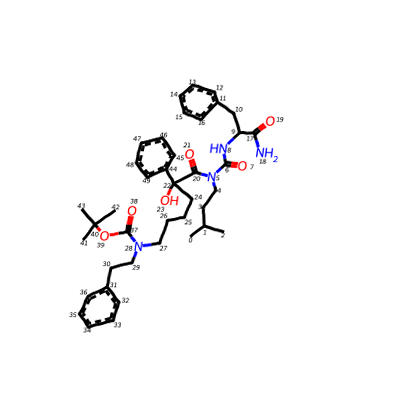 CC(C)CCN(C(=O)NC(Cc1ccccc1)C(N)=O)C(=O)C(O)(CCCCN(CCc1ccccc1)C(=O)OC(C)(C)C)c1ccccc1